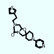 O=C1CN(CCc2ccsc2)CC2OC3(CCN(c4ccncc4)CC3)CN12